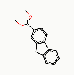 CO[SiH](OC)c1ccc2c(c1)Cc1ccccc1-2